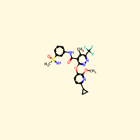 COc1nc(C2CC2)ccc1Oc1nnc(C(F)(F)F)c(C)c1C(=O)Nc1cccc(S(C)(=N)=O)c1